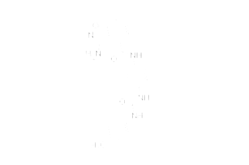 Cc1ccc(NC(=O)Nc2ccc(NC(=O)c3cccc4onc(N)c34)cc2)cc1